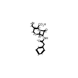 O=C(Cc1ccccc1)N[C@H]1C(=O)N2C(C(=O)O)=C(CBr)CS[C@@H]12